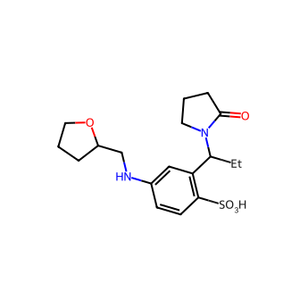 CCC(c1cc(NCC2CCCO2)ccc1S(=O)(=O)O)N1CCCC1=O